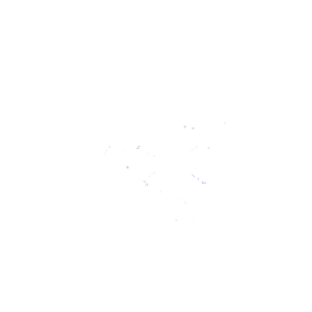 Cc1csc(C2=NOC(C)(O)C2c2ccc(Br)cc2)c1